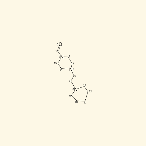 O=CN1CCN(CCN2CCCCC2)CC1